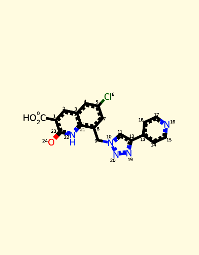 O=C(O)c1cc2cc(Cl)cc(Cn3cc(-c4ccncc4)nn3)c2[nH]c1=O